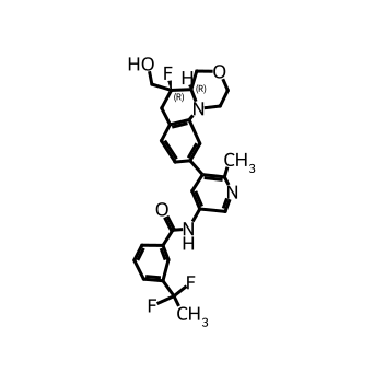 Cc1ncc(NC(=O)c2cccc(C(C)(F)F)c2)cc1-c1ccc2c(c1)N1CCOC[C@@H]1[C@@](F)(CO)C2